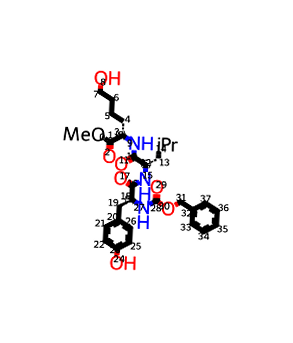 COC(=O)[C@H](CCCCO)NC(=O)[C@H](CC(C)C)NC(=O)[C@H](Cc1ccc(O)cc1)NC(=O)OCc1ccccc1